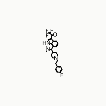 CN(C)C(c1cccc2c(C(=O)C(F)(F)F)c[nH]c12)C1CCN(CCc2ccc(F)cc2)CC1